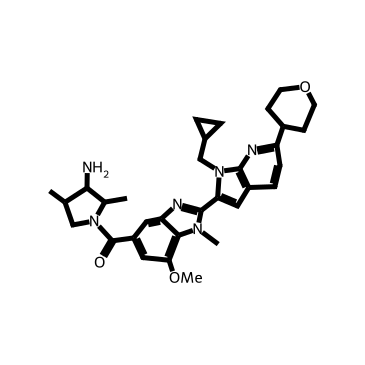 COc1cc(C(=O)N2CC(C)C(N)C2C)cc2nc(-c3cc4ccc(C5CCOCC5)nc4n3CC3CC3)n(C)c12